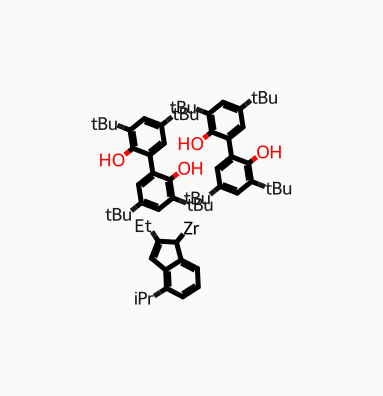 CC(C)(C)c1cc(-c2cc(C(C)(C)C)cc(C(C)(C)C)c2O)c(O)c(C(C)(C)C)c1.CC(C)(C)c1cc(-c2cc(C(C)(C)C)cc(C(C)(C)C)c2O)c(O)c(C(C)(C)C)c1.CCC1=Cc2c(C(C)C)cccc2[CH]1[Zr]